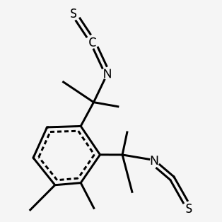 Cc1ccc(C(C)(C)N=C=S)c(C(C)(C)N=C=S)c1C